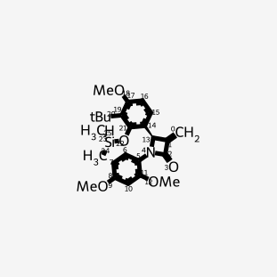 C=C1C(=O)N(c2ccc(OC)cc2OC)[C@H]1c1ccc(OC)c(C(C)(C)C)c1O[SiH](C)C